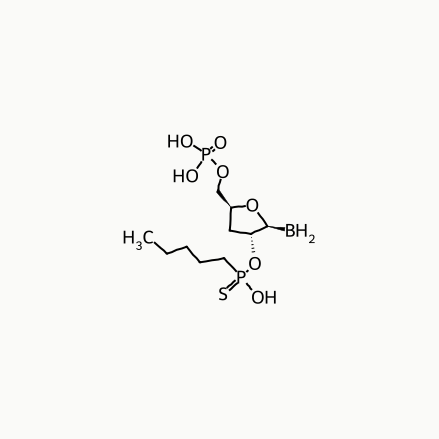 B[C@@H]1O[C@H](COP(=O)(O)O)C[C@H]1OP(O)(=S)CCCCC